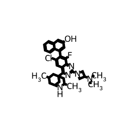 CC1CC2CC(c3nc(N4CC(N(C)C)C4)nc4c(F)c(-c5cc(O)cc6ccccc56)c(Cl)cc34)(C1)CC(C)N2